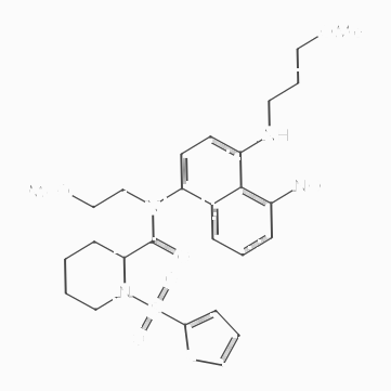 COCCCNc1ccc(N(CCOC)C(=O)C2CCCCN2S(=O)(=O)c2cccs2)c2cccc(N=O)c12